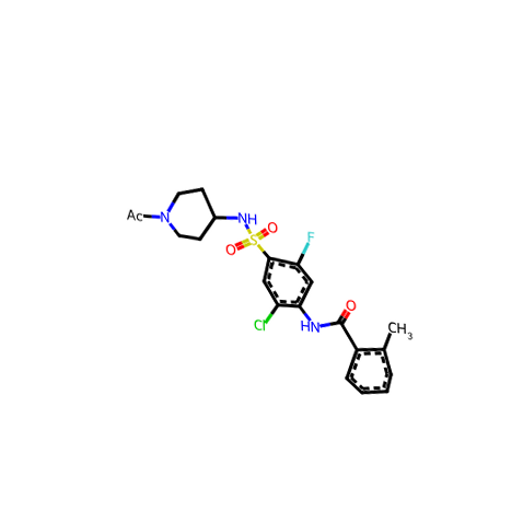 CC(=O)N1CCC(NS(=O)(=O)c2cc(Cl)c(NC(=O)c3ccccc3C)cc2F)CC1